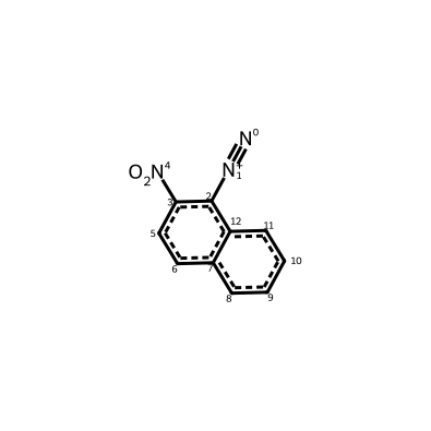 N#[N+]c1c([N+](=O)[O-])ccc2ccccc12